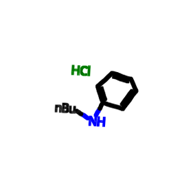 CCCCNc1ccccc1.Cl